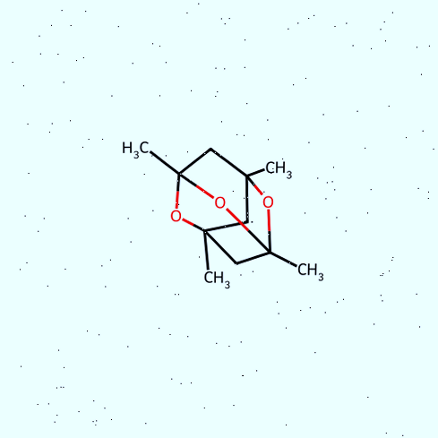 CC12[CH]C3(C)CC(C)(O1)OC(C)(C2)O3